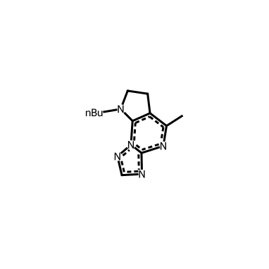 CCCCN1CCc2c(C)nc3ncnn3c21